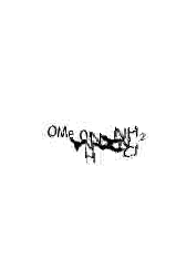 COCC1CC1C(=O)Nc1cc2cc(Cl)nc(N)c2cn1